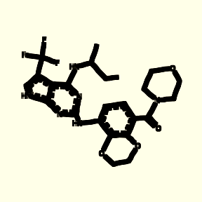 CCC(C)Nc1nc(Nc2ccc(C(=O)N3CCOCC3)c3c2OCCO3)nc2[nH]cc(C(F)(F)F)c12